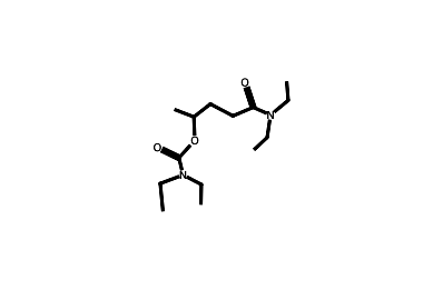 CCN(CC)C(=O)CCC(C)OC(=O)N(CC)CC